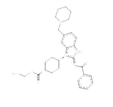 CCOC(=O)[C@H]1CC[C@@H](n2/c(=N/C(=O)c3ccccc3)[nH]c3ccc(CN4CCCCC4)cc32)CC1